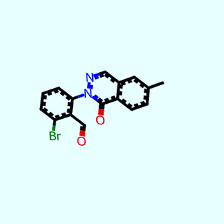 Cc1ccc2c(=O)n(-c3cccc(Br)c3C=O)ncc2c1